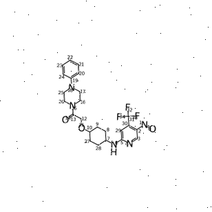 O=Nc1cnc(NC2CCC(OCC(=O)N3CCN(c4ccccc4)CC3)CC2)cc1C(F)(F)F